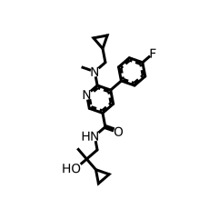 CN(CC1CC1)c1ncc(C(=O)NCC(C)(O)C2CC2)cc1-c1ccc(F)cc1